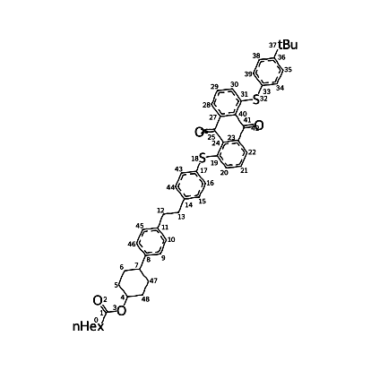 CCCCCCC(=O)OC1CCC(c2ccc(CCc3ccc(Sc4cccc5c4C(=O)c4cccc(Sc6ccc(C(C)(C)C)cc6)c4C5=O)cc3)cc2)CC1